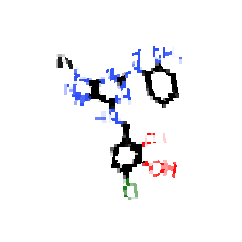 CC(C)n1nnc2c(NCc3ccc(Cl)c(O)c3O)nc(NC3CCCCC3N)nc21